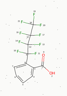 O=C(O)c1ccccc1C(F)(F)C(F)(F)C(F)(F)C(F)(F)F